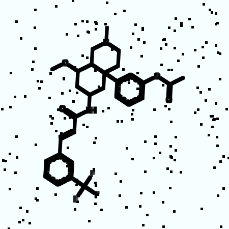 COC1CC(NC(=O)/C=C/c2cccc(C(F)(F)F)c2)CC2(c3cccc(OC(C)=O)c3)CCN(C)CC12